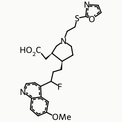 COc1ccc2nccc(C(F)CC[C@@H]3CCN(CCSc4ncco4)C[C@@H]3CC(=O)O)c2c1